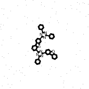 c1ccc(-c2nc(-c3ccccc3)nc(-c3ccc4c(c3)sc3c(-c5nc(-c6ccccc6)nc(-c6ccc7oc8ccccc8c7c6)n5)cccc34)n2)cc1